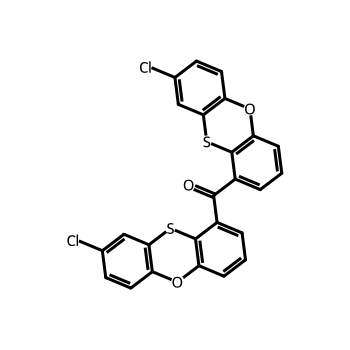 O=C(c1cccc2c1Sc1cc(Cl)ccc1O2)c1cccc2c1Sc1cc(Cl)ccc1O2